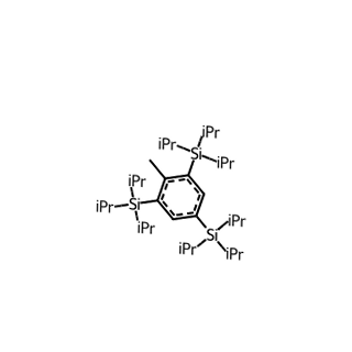 Cc1c([Si](C(C)C)(C(C)C)C(C)C)cc([Si](C(C)C)(C(C)C)C(C)C)cc1[Si](C(C)C)(C(C)C)C(C)C